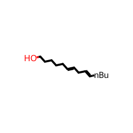 CCCC/C=C/C/C=C/CCCCCO